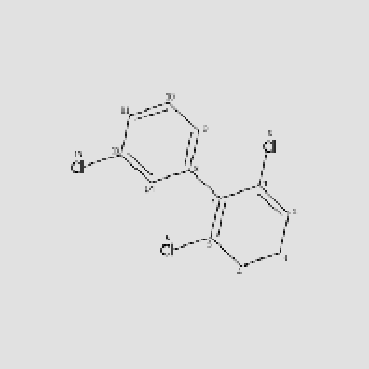 ClC1=CC[CH]C(Cl)=C1c1cccc(Cl)c1